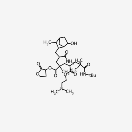 CC1C2CC(O)C(C2)C1CC(CC(C)(CC(CC(C)(C)C(=O)NC(C)(C)C)C(=O)OCCN(C)C)C(=O)OC1CCOC1=O)C(N)=O